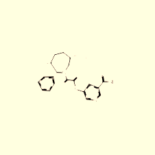 C[C@@H]1CC[C@H](C)[C@@H](c2ccccc2)N(C(=O)C(=O)Nc2cncc(C(N)=O)c2)C1